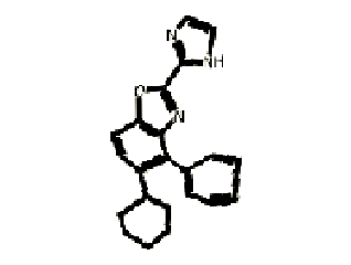 c1ccc(-c2c(C3CCCCC3)ccc3oc(-c4ncc[nH]4)nc23)cc1